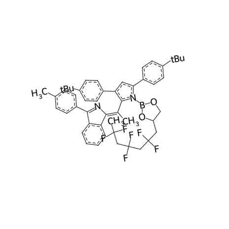 C/C(=C1/N=C(c2ccc(C)cc2)c2ccccc21)c1c(-c2ccc(C(C)(C)C)cc2)cc(-c2ccc(C(C)(C)C)cc2)n1B1OCC(CC(F)(F)CC(F)(F)CC(C)(F)F)O1